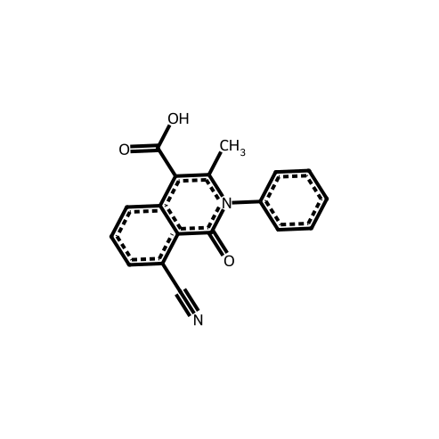 Cc1c(C(=O)O)c2cccc(C#N)c2c(=O)n1-c1ccccc1